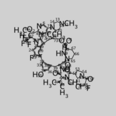 CO[C@@H](C)c1ncc(N2CCN(C)CC2)cc1-c1c2c3cc(c(F)cc3n1CC(F)(F)F)-c1cc(O)cc(c1)C[C@H](NC(=O)[C@H](C(C)C)N(C)C(=O)[C@H]1CCN(C(=O)[C@H](F)Cl)C1)C(=O)N1CCC[C@H](N1)C(=O)OCC(C)(C)C2